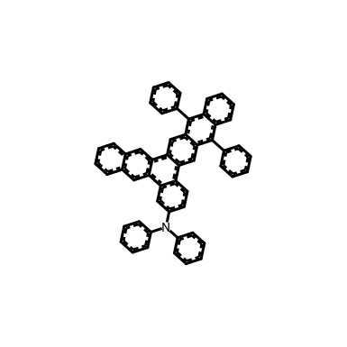 c1ccc(-c2c3ccccc3c(-c3ccccc3)c3cc4c5cc6ccccc6cc5c5cc(N(c6ccccc6)c6ccccc6)ccc5c4cc23)cc1